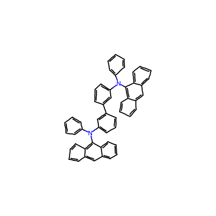 c1ccc(N(c2cccc(-c3cccc(N(c4ccccc4)c4c5ccccc5cc5ccccc45)c3)c2)c2c3ccccc3cc3ccccc23)cc1